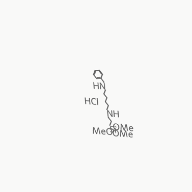 CO[Si](CCCNCCCCCCNCc1ccccc1)(OC)OC.Cl